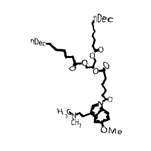 CCCCCCCCCCCCCCCC(=O)OCC(COC(=O)CCCCCCCCCCCCCCC)OC(=O)CCCCC(=O)n1cc(CCN(C)C)c2cc(OC)ccc21